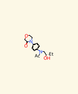 CC[C@H](O)CN(C(C)=O)c1ccc(N2CCOCC2=O)cc1